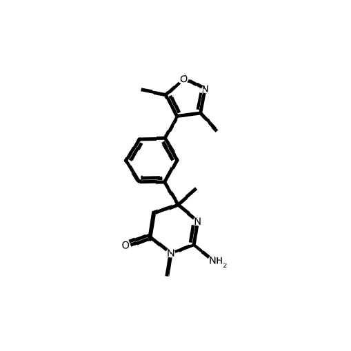 Cc1noc(C)c1-c1cccc(C2(C)CC(=O)N(C)C(N)=N2)c1